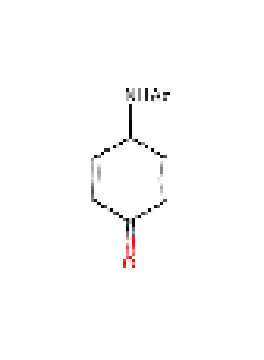 CC(=O)NC1C=CC(=O)C=C1